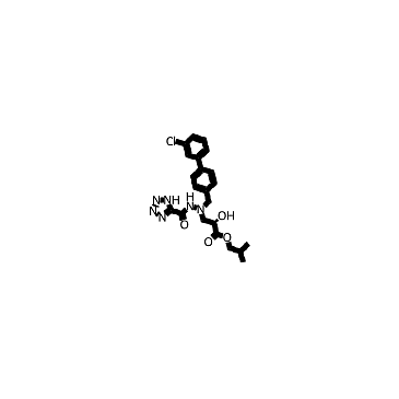 CC(C)COC(=O)[C@H](O)CN(Cc1ccc(-c2cccc(Cl)c2)cc1)NC(=O)c1nnn[nH]1